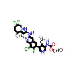 C=C1CCC(F)(F)Cn2nc(Nc3cc4cc(-c5cncc(NC(=O)OC=O)c5C)c(F)c(Cl)c4cn3)cc21